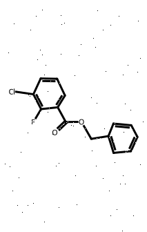 O=C(OCc1ccccc1)c1cccc(Cl)c1F